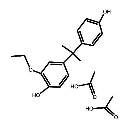 CC(=O)O.CC(=O)O.CCOc1cc(C(C)(C)c2ccc(O)cc2)ccc1O